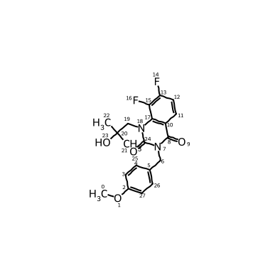 COc1ccc(Cn2c(=O)c3ccc(F)c(F)c3n(CC(C)(C)O)c2=O)cc1